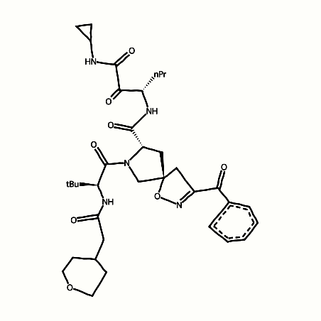 CCC[C@H](NC(=O)[C@@H]1C[C@]2(CC(C(=O)c3ccccc3)=NO2)CN1C(=O)[C@@H](NC(=O)CC1CCOCC1)C(C)(C)C)C(=O)C(=O)NC1CC1